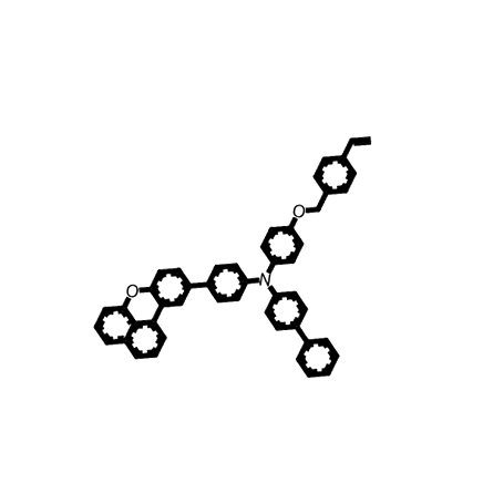 C=Cc1ccc(COc2ccc(N(c3ccc(-c4ccccc4)cc3)c3ccc(-c4ccc5c(c4)-c4cccc6cccc(c46)O5)cc3)cc2)cc1